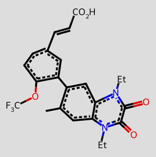 CCn1c(=O)c(=O)n(CC)c2cc(-c3cc(C=CC(=O)O)ccc3OC(F)(F)F)c(C)cc21